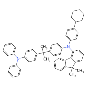 CC(C)(c1ccc(N(c2ccccc2)c2ccccc2)cc1)c1ccc(N(c2ccc(C3CCCCC3)cc2)c2cccc3c2-c2ccccc2C3(C)C)cc1